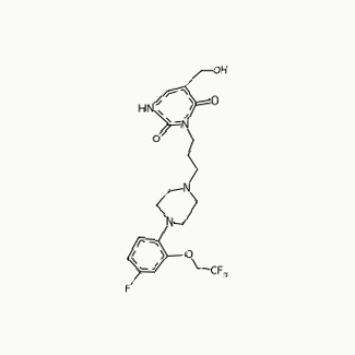 O=c1[nH]cc(CO)c(=O)n1CCCN1CCN(c2ccc(F)cc2OCC(F)(F)F)CC1